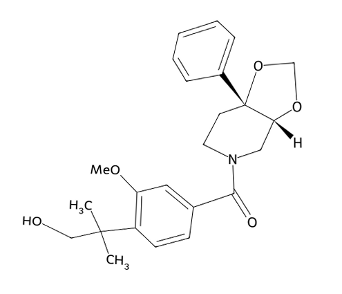 COc1cc(C(=O)N2CC[C@]3(c4ccccc4)OCO[C@@H]3C2)ccc1C(C)(C)CO